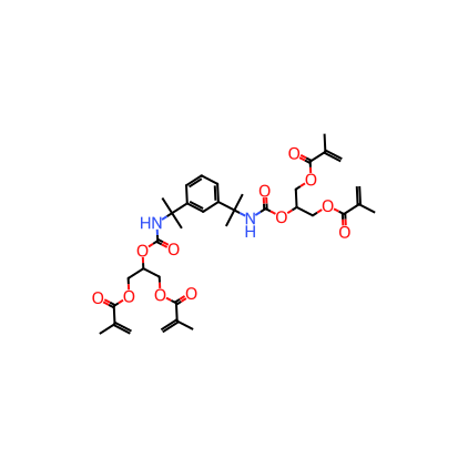 C=C(C)C(=O)OCC(COC(=O)C(=C)C)OC(=O)NC(C)(C)c1cccc(C(C)(C)NC(=O)OC(COC(=O)C(=C)C)COC(=O)C(=C)C)c1